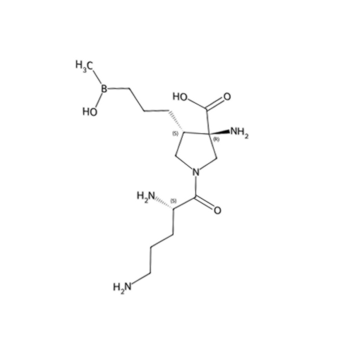 CB(O)CCC[C@H]1CN(C(=O)[C@@H](N)CCCN)C[C@@]1(N)C(=O)O